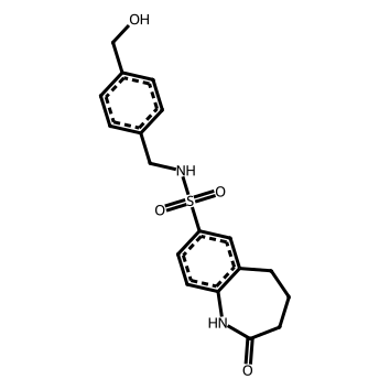 O=C1CCCc2cc(S(=O)(=O)NCc3ccc(CO)cc3)ccc2N1